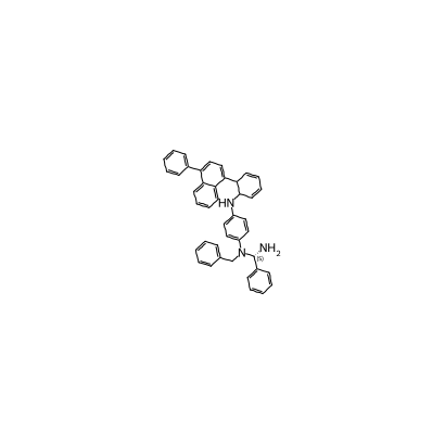 N[C@H](c1ccccc1)N(Cc1ccccc1)c1ccc(NC2C=CC=CC2c2ccc(-c3ccccc3)c3ccccc23)cc1